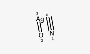 C#N.[O]=[Ag]